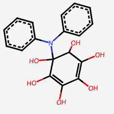 OC1=C(O)C(O)C(O)(N(c2ccccc2)c2ccccc2)C(O)=C1O